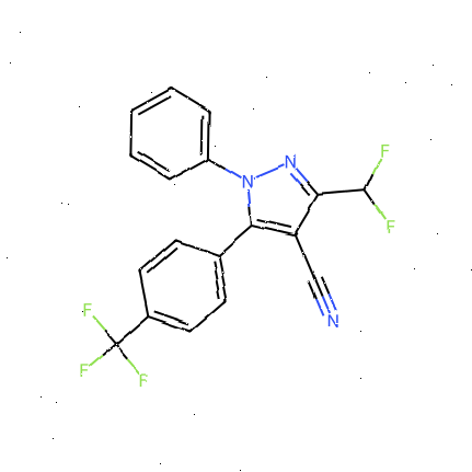 N#Cc1c(C(F)F)nn(-c2ccccc2)c1-c1ccc(C(F)(F)F)cc1